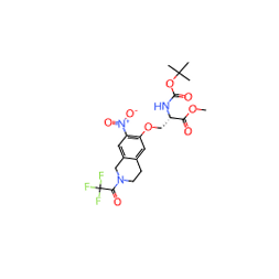 COC(=O)[C@H](COc1cc2c(cc1[N+](=O)[O-])CN(C(=O)C(F)(F)F)CC2)NC(=O)OC(C)(C)C